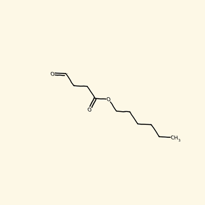 CCCCCCOC(=O)CC[C]=O